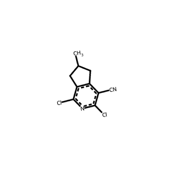 CC1Cc2c(Cl)nc(Cl)c(C#N)c2C1